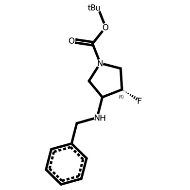 CC(C)(C)OC(=O)N1CC(NCc2ccccc2)[C@@H](F)C1